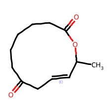 CC1/C=C/CC(=O)CCCCCC(=O)O1